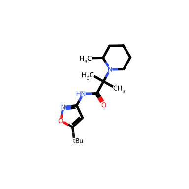 CC1CCCCN1C(C)(C)C(=O)Nc1cc(C(C)(C)C)on1